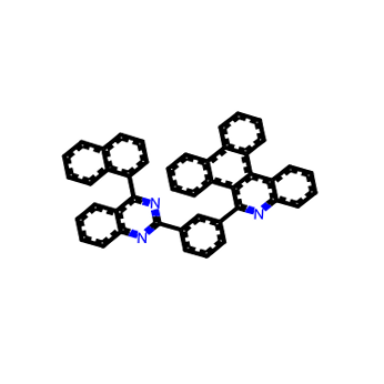 c1cc(-c2nc(-c3cccc4ccccc34)c3ccccc3n2)cc(-c2nc3ccccc3c3c4ccccc4c4ccccc4c23)c1